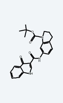 CC(C)(C)OC(=O)N1CCCc2ccc(NC(=O)c3c[nH]c4ccccc4c3=O)cc21